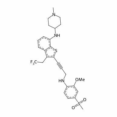 COc1cc(S(C)(=O)=O)ccc1NCC#Cc1sc2c(NC3CCN(C)CC3)cccc2c1CC(F)(F)F